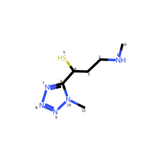 CNCCC(S)c1nnnn1C